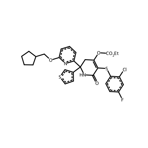 CCOC(=O)OC1=C(Sc2ccc(F)cc2Cl)C(=O)NC(c2ccsc2)(c2cccc(OCC3CCCC3)n2)C1